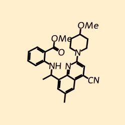 COC(=O)c1ccccc1NC(C)c1cc(C)cc2c(C#N)cc(N3CCC(OC)CC3)nc12